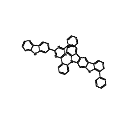 c1ccc(-c2nc(-c3ccc4c(c3)oc3ccccc34)nc(-c3ccccc3-n3c4ccccc4c4cc5c(cc43)sc3c(-c4ccccc4)cccc35)n2)cc1